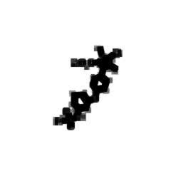 CCOC(=O)c1c(-c2ccc(Oc3cccc(NS(=O)(=O)C(C)C)c3)cc2)c(C)c(CC)n1C